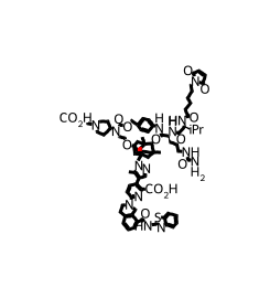 Cc1c(-c2ccc(N3CCc4cccc(C(=O)Nc5nc6ccccc6s5)c4C3)nc2C(=O)O)cnn1CC12CC3(C)CC(C)(C1)CC(OCCN(C(=O)OCc1ccc(NC(=O)[C@H](CCCNC(N)=O)NC(=O)[C@@H](NC(=O)CCCCCN4C(=O)C=CC4=O)C(C)C)cc1)C1CCN(CC(=O)O)CC1)(C3)C2